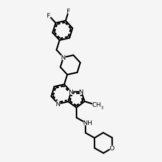 Cc1nn2c(C3CCCN(Cc4ccc(F)c(F)c4)C3)ccnc2c1CNCC1CCOCC1